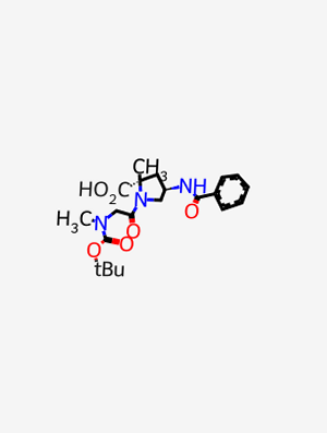 CN(CC(=O)N1C[C@H](NC(=O)c2ccccc2)C[C@@]1(C)C(=O)O)C(=O)OC(C)(C)C